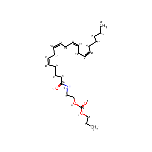 [CH2]CCOC(=O)OCCNC(=O)CCC/C=C\C/C=C\C/C=C\C/C=C\CCCCC